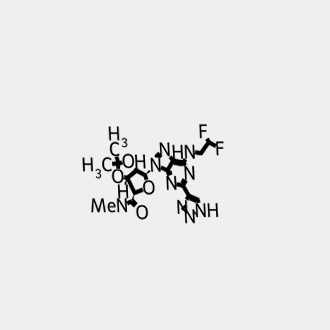 CNC(=O)[C@H]1O[C@@H](n2cnc3c(NCC(F)F)nc(-c4c[nH]nn4)nc32)[C@@H]2OC(C)(C)O[C@@H]21